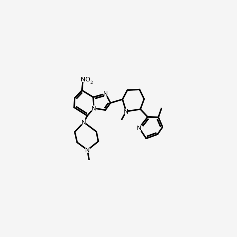 Cc1cccnc1C1CCCC(c2cn3c(N4CCN(C)CC4)ccc([N+](=O)[O-])c3n2)N1C